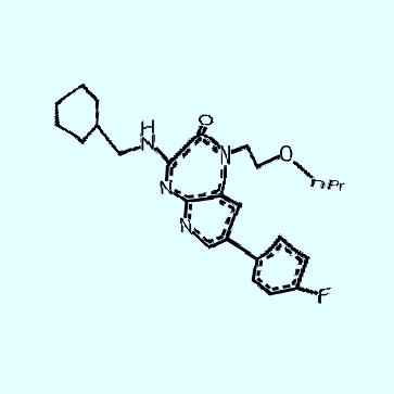 CCCOCCn1c(=O)c(NCC2CCCCC2)nc2ncc(-c3ccc(F)cc3)cc21